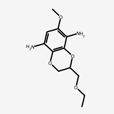 CCOCC1COc2c(N)cc(OC)c(N)c2O1